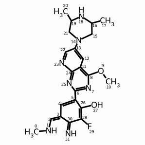 CN/C=C1/C=C(c2nc(OC)c3cc(N4CC(C)NC(C)C4)cnc3n2)C(O)=C(F)C1=N